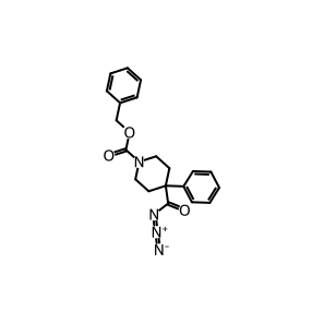 [N-]=[N+]=NC(=O)C1(c2ccccc2)CCN(C(=O)OCc2ccccc2)CC1